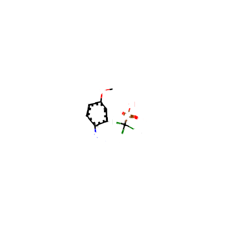 COc1ccc(N)cc1.O=S(=O)(O)C(F)(F)F